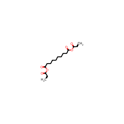 C=CC(=O)OC(=O)CCCCCCCCC(=O)OC(=O)C=C